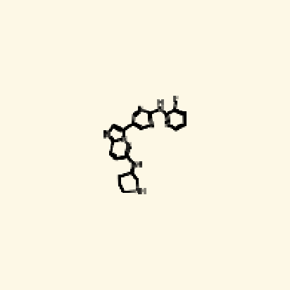 Fc1cccnc1Nc1ncc(-c2cnc3ccc(NC4CCCNC4)nn23)cn1